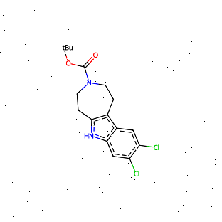 CC(C)(C)OC(=O)N1CCc2[nH]c3cc(Cl)c(Cl)cc3c2CC1